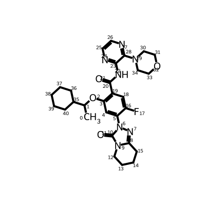 CC(Oc1cc(-n2nc3n(c2=O)CCCC3)c(F)cc1C(=O)Nc1nccnc1N1CCOCC1)C1CCCCC1